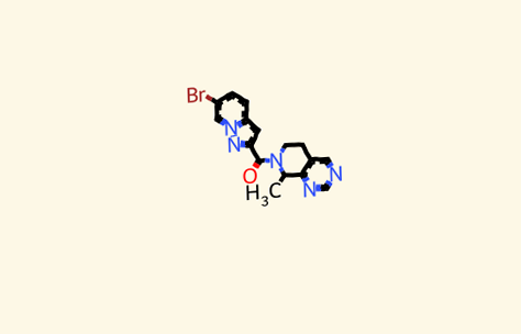 CC1c2ncncc2CCN1C(=O)c1cc2ccc(Br)cn2n1